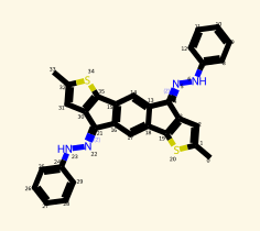 Cc1cc2/c(=N\Nc3ccccc3)c3cc4c(cc3c2s1)/c(=N/Nc1ccccc1)c1cc(C)sc14